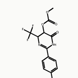 COC(=O)OC1C(=O)NC(c2ccc(Cl)cc2)=NC1C(F)(F)F